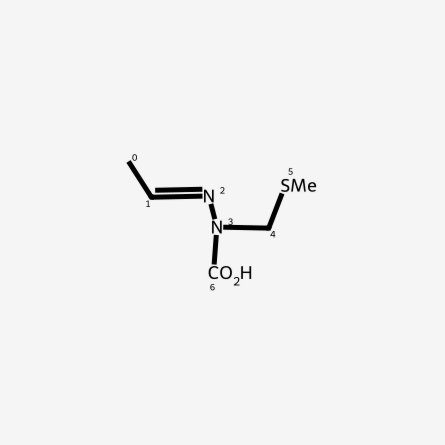 CC=NN(CSC)C(=O)O